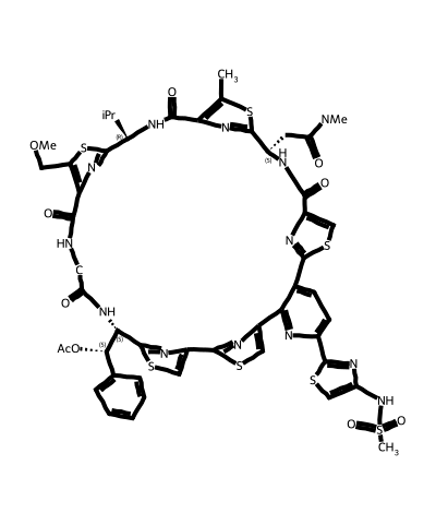 CNC(=O)C[C@@H]1NC(=O)c2csc(n2)-c2ccc(-c3nc(NS(C)(=O)=O)cs3)nc2-c2csc(n2)-c2csc(n2)[C@H]([C@@H](OC(C)=O)c2ccccc2)NC(=O)CNC(=O)c2nc(sc2COC)[C@@H](C(C)C)NC(=O)c2nc1sc2C